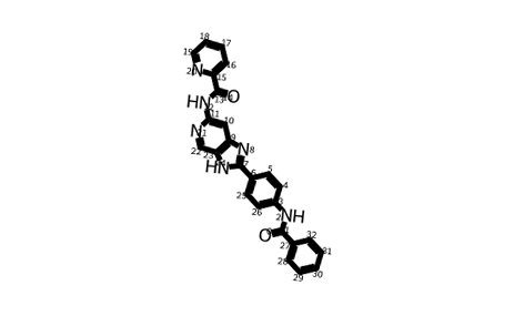 O=C(Nc1ccc(-c2nc3cc(NC(=O)c4ccccn4)ncc3[nH]2)cc1)c1ccccc1